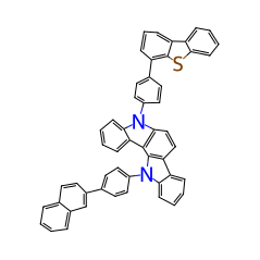 c1ccc2cc(-c3ccc(-n4c5ccccc5c5ccc6c(c7ccccc7n6-c6ccc(-c7cccc8c7sc7ccccc78)cc6)c54)cc3)ccc2c1